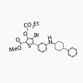 CCOC(=O)COc1c(C(=O)OC)sc(-c2cccc(NC3CCC(c4ccccc4)CC3)c2)c1Br